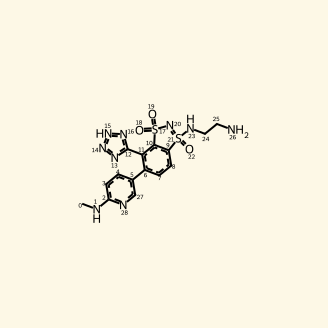 CNc1ccc(-c2ccc3c(c2-c2nn[nH]n2)S(=O)(=O)N=S3(=O)NCCN)cn1